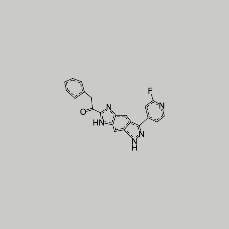 O=C(Cc1ccccc1)c1nc2cc3c(-c4ccnc(F)c4)n[nH]c3cc2[nH]1